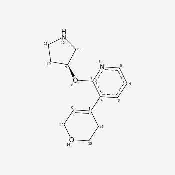 C1=C(c2cccnc2O[C@H]2CCNC2)CCOC1